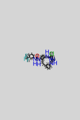 O=C(Nc1cccc(C(F)(F)F)c1)Nc1ccc2cc1CCc1cccc(c1)Nc1ncc(Cl)c(n1)N2